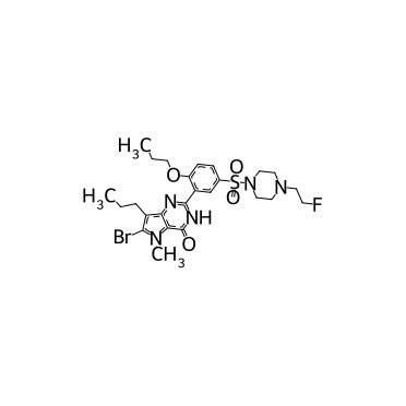 CCCOc1ccc(S(=O)(=O)N2CCN(CCF)CC2)cc1-c1nc2c(CCC)c(Br)n(C)c2c(=O)[nH]1